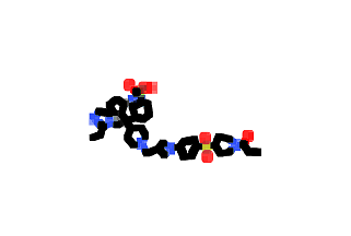 C=CC(=O)N1CCC(S(=O)(=O)c2ccc(N3CC(CN4CCC([C@@](Cn5ccnc5CC)(c5cccc(F)c5)[C@H]5CCC[C@@H]5NC(=O)O)CC4)C3)cc2)CC1